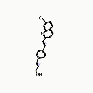 OC/C=C/c1ccc(/C=C/c2ccc3ccc(Cl)cc3n2)cc1